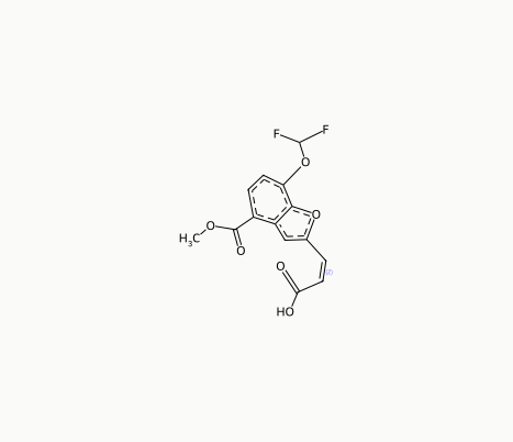 COC(=O)c1ccc(OC(F)F)c2oc(/C=C\C(=O)O)cc12